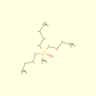 CCCCS(C)(=O)(CCCC)CCCC